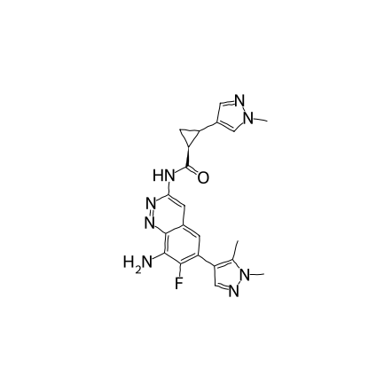 Cc1c(-c2cc3cc(NC(=O)[C@H]4CC4c4cnn(C)c4)nnc3c(N)c2F)cnn1C